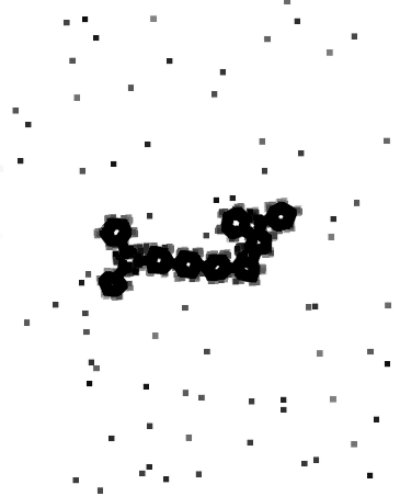 c1ccc(C2=NC(c3ccc(-c4ccc(-c5ccc(-c6cccc7c6oc6c7ccc7c(-c8ccccc8)nc8ccccc8c76)cc5)cc4)cc3)NC(c3ccccc3)=N2)cc1